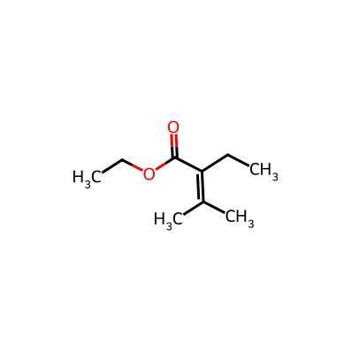 CCOC(=O)C(CC)=C(C)C